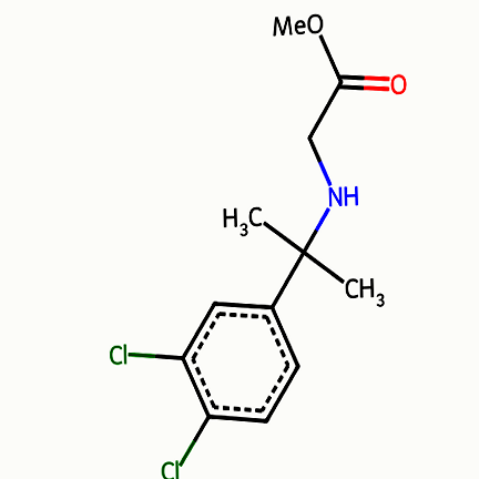 COC(=O)CNC(C)(C)c1ccc(Cl)c(Cl)c1